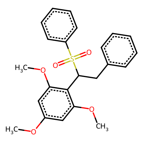 COc1cc(OC)c(C(Cc2ccccc2)S(=O)(=O)c2ccccc2)c(OC)c1